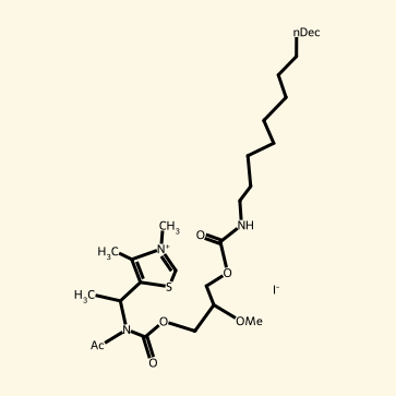 CCCCCCCCCCCCCCCCCCNC(=O)OCC(COC(=O)N(C(C)=O)C(C)c1sc[n+](C)c1C)OC.[I-]